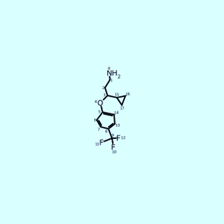 NCCC(Oc1ccc(C(F)(F)F)cc1)C1CC1